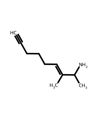 C#CCCC/C=C(\C)C(C)N